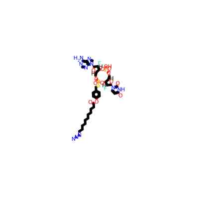 [N-]=[N+]=NCCCCCCCCCCC(=O)Oc1ccc(CSP2(=O)OC[C@H]3O[C@@H](n4cnc5c(N)ncnc54)[C@H](F)[C@@H]3OP(=O)(O)OC[C@H]3O[C@@H](n4ccc(=O)[nH]c4=O)[C@H](F)[C@@H]3O2)cc1